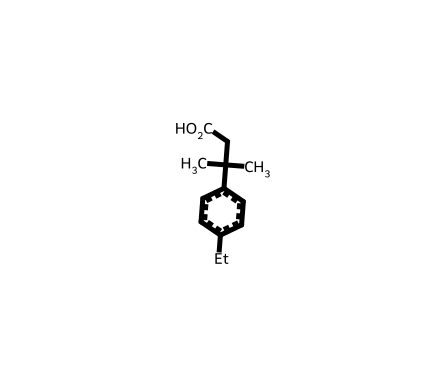 CCc1ccc(C(C)(C)CC(=O)O)cc1